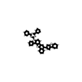 c1ccc(-c2nc(-c3ccccc3)nc(-n3c4ccccc4c4c5oc6c7ccccc7c(-c7ccc8c(c7)oc7ccccc78)cc6c5ccc43)n2)cc1